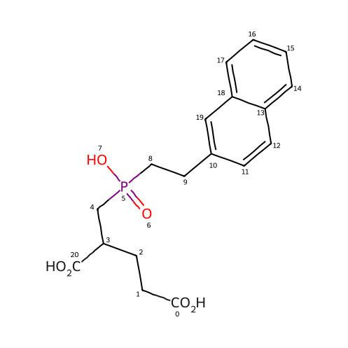 O=C(O)CCC(CP(=O)(O)CCc1ccc2ccccc2c1)C(=O)O